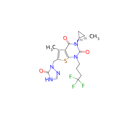 Cc1c(Cn2nc[nH]c2=O)sc2c1c(=O)n([C@H]1C[C@@H]1C)c(=O)n2CCCC(F)(F)F